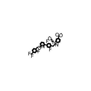 COCCn1c(Cc2cc(F)c(-c3cccc(OCc4ccc(C(F)F)cc4F)n3)cc2F)nc2ccc(C(=O)OC)cc21